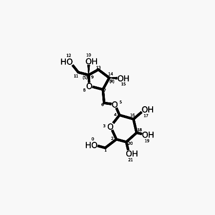 OCC1OC(OCC2O[C@](O)(CO)C[C@H]2O)C(O)C(O)C1O